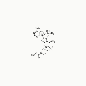 C=CC1[C@@H](OC(C)(C)O)[C@H](C2CC=C3C(SC)=NC=NN32)O[C@@H]1CN1CC(F)(F)CC12CCN(C(=O)OC(C)(C)C)CC2